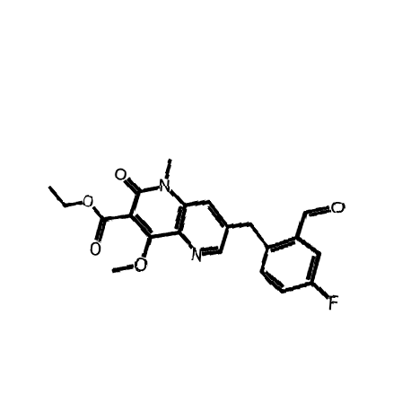 CCOC(=O)c1c(OC)c2ncc(Cc3ccc(F)cc3C=O)cc2n(C)c1=O